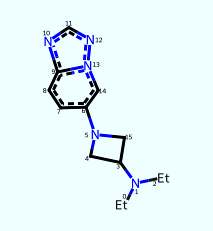 CCN(CC)C1CN(c2ccc3ncnn3c2)C1